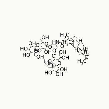 CO[C@@H]1CC[C@@]2(C)[C@H](CC[C@@H]3[C@@H]2CC[C@]2(C)[C@@H]([C@H](C)CCC(=O)NC(CO[C@@H]4OC(CO)[C@@H](O[C@H]5OC(CO)[C@@H](O)[C@H](O)C5O)[C@H](O)C4O)CO[C@@H]4OC(CO)[C@@H](O[C@@H]5OC(CO)[C@@H](O)[C@H](O)C5O)[C@H](O)C4O)CC[C@@H]32)C1